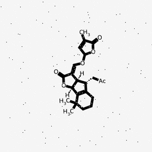 CC(=O)C[C@@H]1C2=C([C@H]3OC(=O)/C(=C/OC4C=C(C)C(=O)O4)[C@@H]13)C(C)(C)CCC2